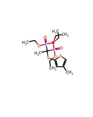 CCOP(=O)(OCC)C(C)(Sc1cc(C)cs1)P(=O)(OCC)OCC